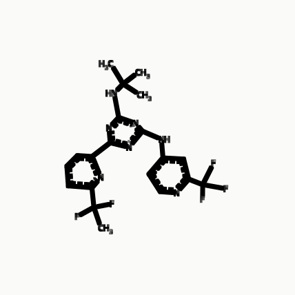 CC(C)(C)Nc1nc(Nc2ccnc(C(F)(F)F)c2)nc(-c2cccc(C(C)(F)F)n2)n1